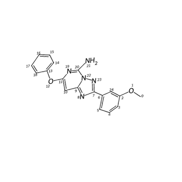 COc1cccc(-c2nc3cc(Oc4ccccc4)nc(N)n3n2)c1